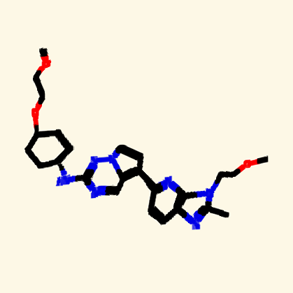 COCCO[C@H]1CC[C@H](Nc2ncc3c(-c4ccc5nc(C)n(CCOC)c5n4)ccn3n2)CC1